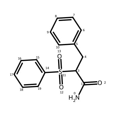 NC(=O)C(Cc1ccccc1)S(=O)(=O)c1ccccc1